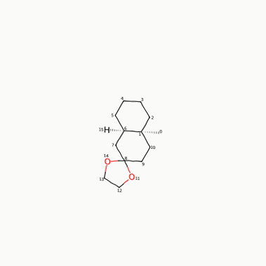 C[C@@]12CCCC[C@@H]1CC1(CC2)OCCO1